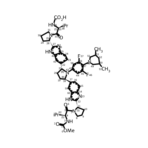 COC(=O)N[C@H](C(=O)N1CCC[C@H]1c1nc2ccc([C@H]3CC[C@H](c4ccc5nc([C@@H]6CCCN6C(=O)[C@@H](NC(=O)O)C(C)C)[nH]c5c4)N3c3cc(F)c(N4CC(C)CC(C)C4)c(F)c3)cc2[nH]1)C(C)C